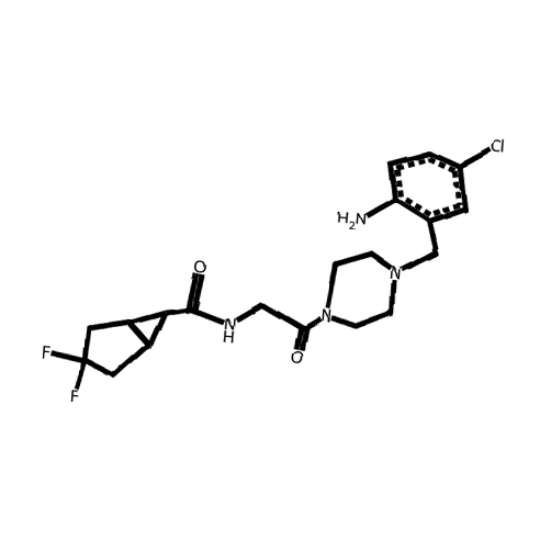 Nc1ccc(Cl)cc1CN1CCN(C(=O)CNC(=O)C2C3CC(F)(F)CC32)CC1